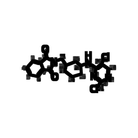 O=C1c2ccccc2C(=O)N1CC1CCCC(Nc2nc(Cl)ncc2Cl)C1